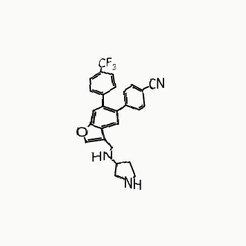 N#Cc1ccc(-c2cc3c(CNC4CCNC4)coc3cc2-c2ccc(C(F)(F)F)cc2)cc1